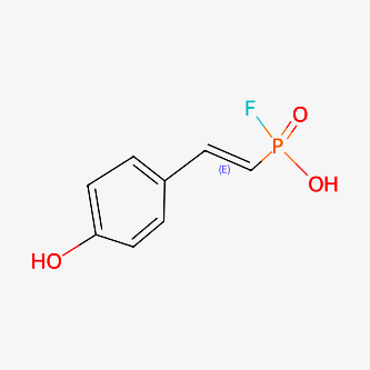 O=P(O)(F)/C=C/c1ccc(O)cc1